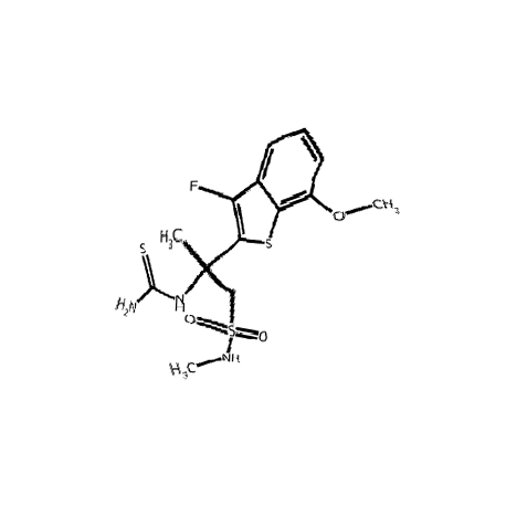 CNS(=O)(=O)CC(C)(NC(N)=S)c1sc2c(OC)cccc2c1F